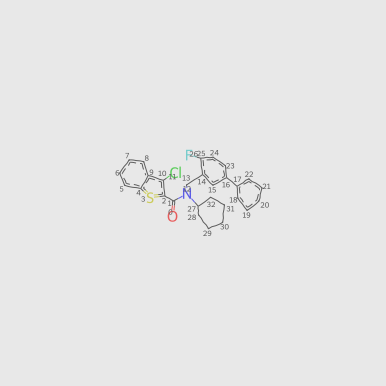 O=C(c1sc2ccccc2c1Cl)N(Cc1cc(-c2ccccc2)ccc1F)C1CCCCC1